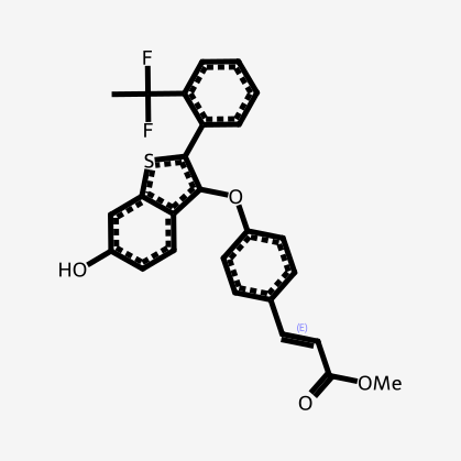 COC(=O)/C=C/c1ccc(Oc2c(-c3ccccc3C(C)(F)F)sc3cc(O)ccc23)cc1